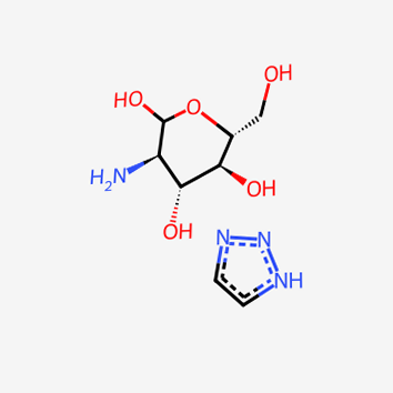 N[C@H]1C(O)O[C@H](CO)[C@@H](O)[C@@H]1O.c1c[nH]nn1